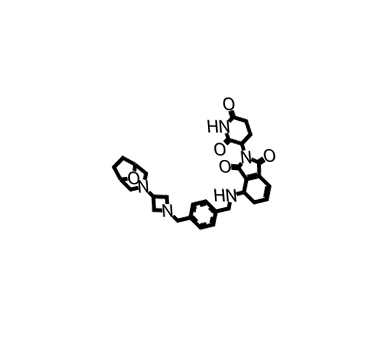 O=C1CCC(N2C(=O)C3=C(C2=O)C(NCc2ccc(CN4CC(N5CC6CCC(C5)O6)C4)cc2)CC=C3)C(=O)N1